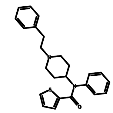 O=C(c1cccs1)N(c1ccccc1)C1CCN(CCc2ccccc2)CC1